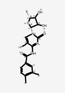 Cc1ccc(C(=O)Nc2nc(=O)n([C@@H]3O[C@H](C)C(O)C3O)cc2F)cc1C